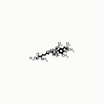 COC(=O)[C@@H](N)CCCCNC(=N)NS(=O)(=O)c1c(C)c(C)c2c(c1C)CC(C)(C)O2